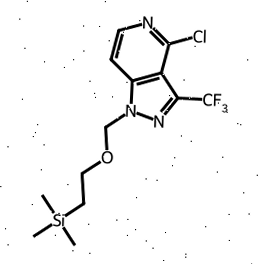 C[Si](C)(C)CCOCn1nc(C(F)(F)F)c2c(Cl)nccc21